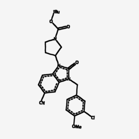 COc1ccc(Cn2c(=O)n(C3CCN(C(=O)OC(C)(C)C)C3)c3ccc(C#N)cc32)cc1Cl